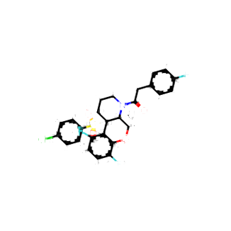 O=C(Cc1ccc(F)cc1)N1CCC[C@]2(S(=O)(=O)c3ccc(Cl)cc3)c3c(F)ccc(F)c3OC[C@H]12